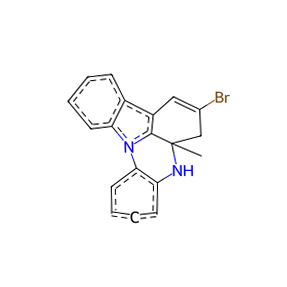 CC12CC(Br)=Cc3c1n(c1ccccc31)-c1ccccc1N2